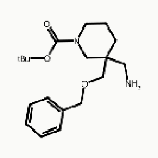 CC(C)(C)OC(=O)N1CCCC(CN)(COCc2ccccc2)C1